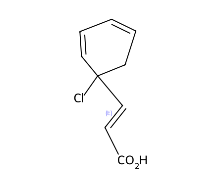 O=C(O)/C=C/C1(Cl)C=CC=CC1